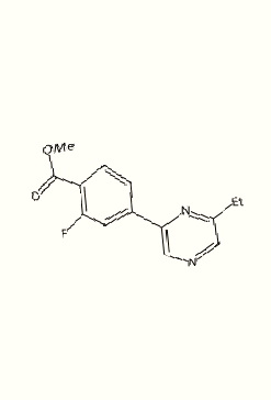 CCc1cncc(-c2ccc(C(=O)OC)c(F)c2)n1